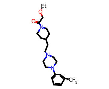 CCOCC(=O)N1CCC(CCN2CCN(c3cccc(C(F)(F)F)c3)CC2)CC1